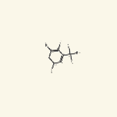 FC1=C(F)C(C(F)(F)F)=CC(F)[CH]1